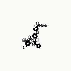 CNC(=O)c1cc(Oc2ccc(N(C(N)=O)c3cc(C4CCCC4)nn3-c3cc(Cl)cc(Cl)c3)c(Cl)c2)ccn1